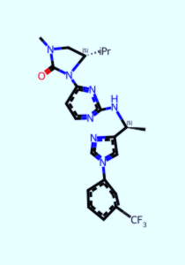 CC(C)[C@H]1CN(C)C(=O)N1c1ccnc(N[C@@H](C)c2cn(-c3cccc(C(F)(F)F)c3)cn2)n1